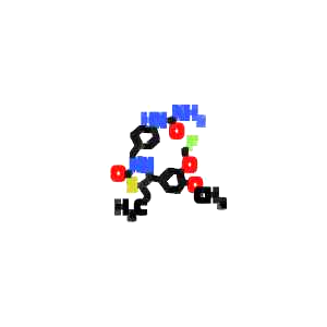 CCC1SC(=O)N(Cc2ccc(NC(N)=O)cc2)N=C1c1ccc(OC)c(OCF)c1